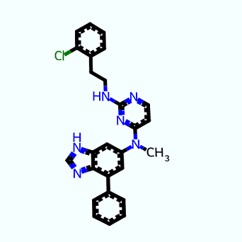 CN(c1cc(-c2ccccc2)c2nc[nH]c2c1)c1ccnc(NCCc2ccccc2Cl)n1